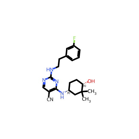 CC1(C)C[C@H](Nc2nc(NCCc3cccc(F)c3)ncc2C#N)CC[C@@H]1O